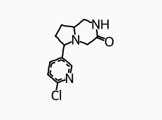 O=C1CN2C(CCC2c2ccc(Cl)nc2)CN1